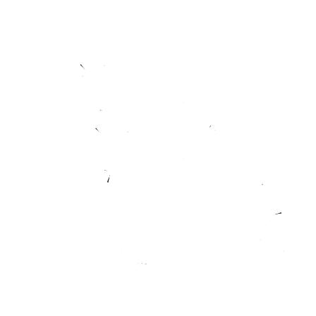 CCC1O[C@H](O[C@@H]2C(OCc3ccccc3)[C@H](OCCCC(=O)OC)OC(CO[C@H]3OC(CO[C@H]4OC(CC)[C@@H](C)[C@H](C)C4O)[C@@H](C)[C@H](C)C3OC(=O)c3ccccc3)[C@H]2C)C(O)[C@@H](C)[C@@H]1C